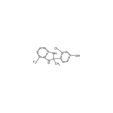 CC1(c2ccc(O)cc2Cl)Nc2cccc(C(F)(F)F)c2N1